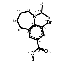 COC(=O)c1cc(Br)c2c(c1)CCCCN2C(C)C